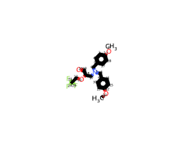 COc1ccc(CN(Cc2ccc(OC)cc2)CC(C=O)OCC(F)(F)F)cc1